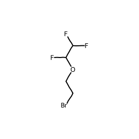 FC(F)C(F)OCCBr